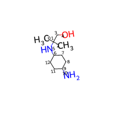 CC(C)(CO)NC1CCC(N)CC1